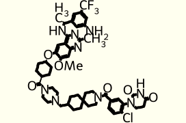 COc1cc2nc(C)nc(N[C@H](C)c3cc(N)cc(C(F)(F)F)c3)c2cc1O[C@H]1CC[C@H](C(=O)N2CCN(CC3CCC4(CC3)CCN(C(=O)c3ccc(Cl)c(N5CCC(=O)NC5=O)c3)CC4)CC2)CC1